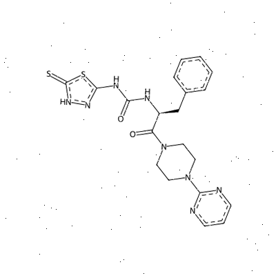 O=C(Nc1n[nH]c(=S)s1)N[C@@H](Cc1ccccc1)C(=O)N1CCN(c2ncccn2)CC1